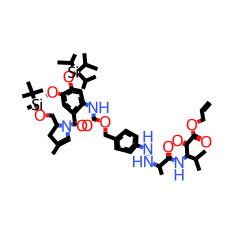 C=CCOC(=O)C(=O)C(NC(=O)C(C)NNc1ccc(COC(=O)Nc2cc(O[Si](C(C)C)(C(C)C)C(C)C)c(OC)cc2C(=O)N2C=C(C)CC2CO[Si](C)(C)C(C)(C)C)cc1)C(C)C